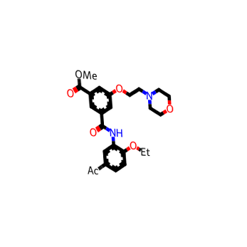 CCOc1ccc(C(C)=O)cc1NC(=O)c1cc(OCCN2CCOCC2)cc(C(=O)OC)c1